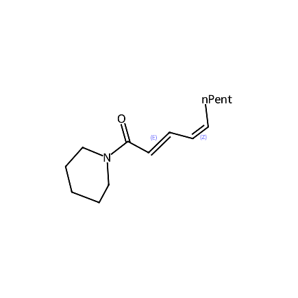 CCCCC/C=C\C=C\C(=O)N1CCCCC1